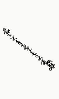 CC(C)(C)OC(=O)CCOCCOCCOCCOCCOCCOCCOCCOCCNC(=O)CN1C(=O)C=CC1=O